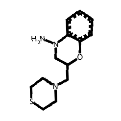 NN1CC(CN2CCSCC2)Oc2ccccc21